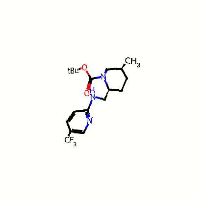 C[C@H]1CC[C@@H](CNc2ccc(C(F)(F)F)cn2)N(C(=O)OC(C)(C)C)C1